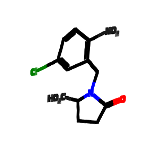 O=C(O)C1CCC(=O)N1Cc1cc(Cl)ccc1[N+](=O)[O-]